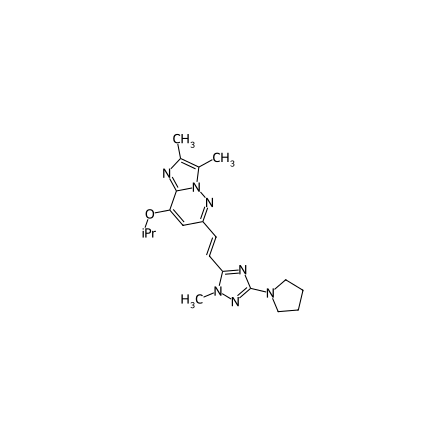 Cc1nc2c(OC(C)C)cc(/C=C/c3nc(N4CCCC4)nn3C)nn2c1C